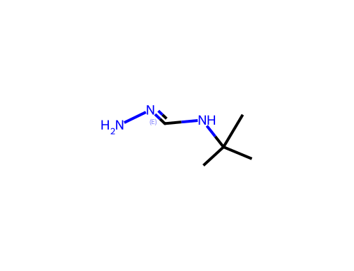 CC(C)(C)N/C=N/N